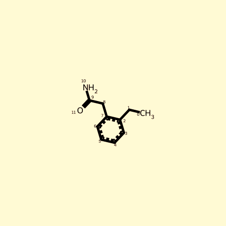 CCc1ccccc1CC(N)=O